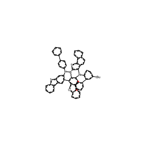 CC(C)(C)c1ccc(N2c3cc4c(oc5ccccc54)c4c3B(c3sc5c(ccc6ccccc65)c32)N(c2ccc(-c3ccccc3)cc2)c2cc3sc5ccccc5c3cc2-4)c(-c2ccccc2)c1